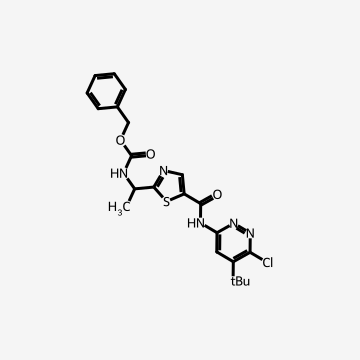 CC(NC(=O)OCc1ccccc1)c1ncc(C(=O)Nc2cc(C(C)(C)C)c(Cl)nn2)s1